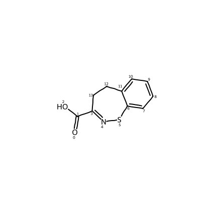 O=C(O)C1=NSc2ccccc2CC1